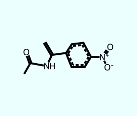 C=C(NC(C)=O)c1ccc([N+](=O)[O-])cc1